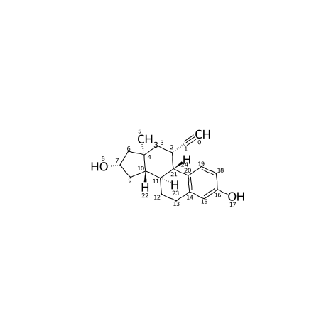 C#C[C@H]1C[C@]2(C)C[C@@H](O)C[C@H]2[C@@H]2CCc3cc(O)ccc3[C@H]21